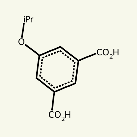 CC(C)Oc1cc(C(=O)O)cc(C(=O)O)c1